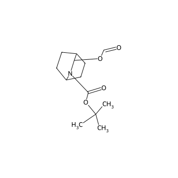 CC(C)(C)OC(=O)N1C2CCC(CC2)C1OC=O